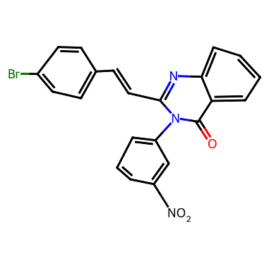 O=c1c2ccccc2nc(C=Cc2ccc(Br)cc2)n1-c1cccc([N+](=O)[O-])c1